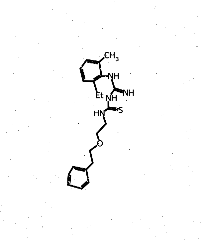 CCc1cccc(C)c1NC(=N)NC(=S)NCCOCCc1ccccc1